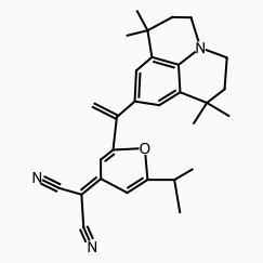 C=C(C1=CC(=C(C#N)C#N)C=C(C(C)C)O1)c1cc2c3c(c1)C(C)(C)CCN3CCC2(C)C